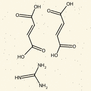 N=C(N)N.O=C(O)/C=C/C(=O)O.O=C(O)/C=C/C(=O)O